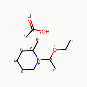 CC(=O)O.CCOC(C)N1CCCCC1C